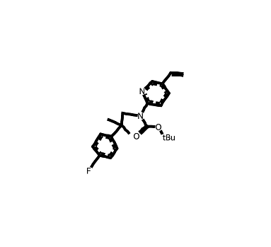 C=Cc1ccc(N(CC(C)(C)c2ccc(F)cc2)C(=O)OC(C)(C)C)nc1